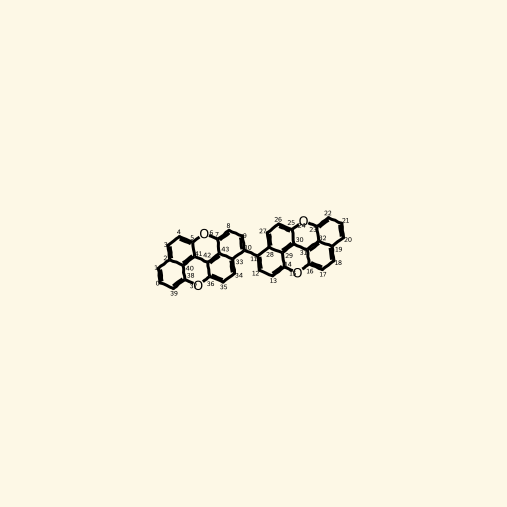 c1cc2ccc3oc4ccc(-c5ccc6oc7ccc8cccc9oc%10ccc5c6c%10-c7c89)c5ccc6oc(c1)c2c3-c6c45